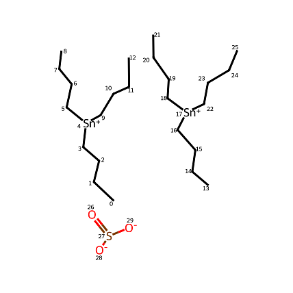 CCC[CH2][Sn+]([CH2]CCC)[CH2]CCC.CCC[CH2][Sn+]([CH2]CCC)[CH2]CCC.O=S([O-])[O-]